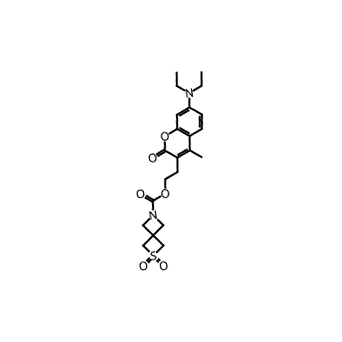 CCN(CC)c1ccc2c(C)c(CCOC(=O)N3CC4(C3)CS(=O)(=O)C4)c(=O)oc2c1